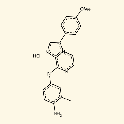 COc1ccc(-c2cnc3c(Nc4ccc(N)c(C)c4)nccn23)cc1.Cl